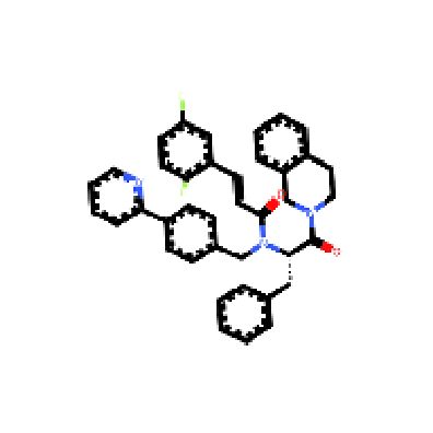 O=C([C@H](Cc1ccccc1)N(Cc1ccc(-c2ccccn2)cc1)C(=O)/C=C/c1cc(F)ccc1F)N1CCc2ccccc2C1